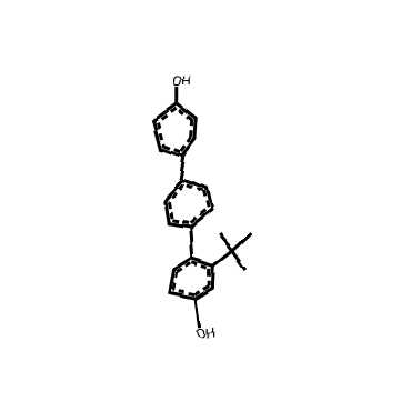 CC(C)(C)c1cc(O)ccc1-c1ccc(-c2ccc(O)cc2)cc1